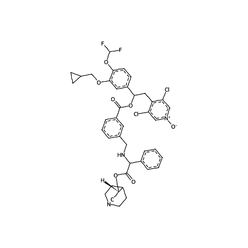 O=C(OC(Cc1c(Cl)c[n+]([O-])cc1Cl)c1ccc(OC(F)F)c(OCC2CC2)c1)c1cccc(CNC(C(=O)O[C@H]2CN3CCC2CC3)c2ccccc2)c1